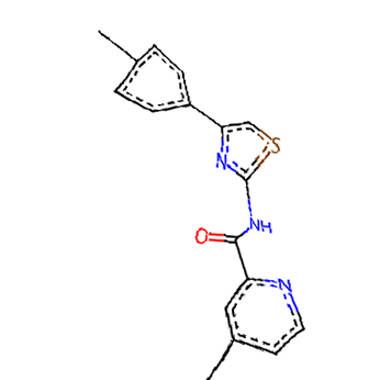 Cc1ccc(-c2csc(NC(=O)c3cc(C)ccn3)n2)cc1